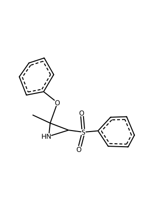 CC1(Oc2ccccc2)NC1S(=O)(=O)c1ccccc1